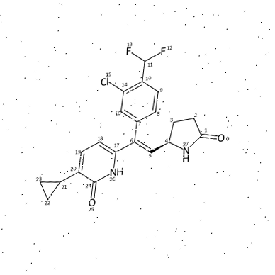 O=C1CC[C@H](/C=C(\c2ccc(C(F)F)c(Cl)c2)c2ccc(C3CC3)c(=O)[nH]2)N1